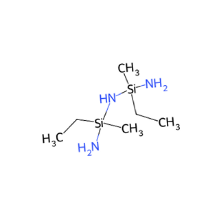 CC[Si](C)(N)N[Si](C)(N)CC